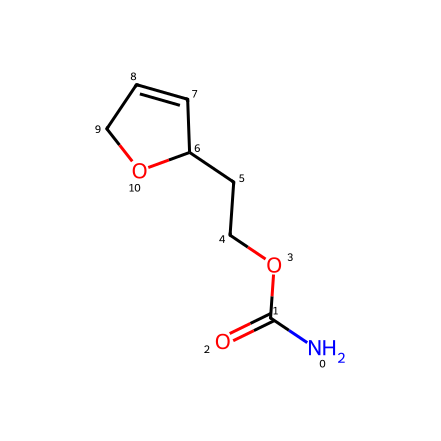 NC(=O)OCCC1C=CCO1